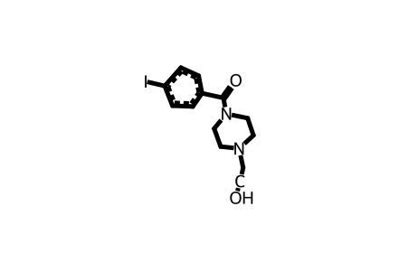 O=C(c1ccc(I)cc1)N1CCN(CCO)CC1